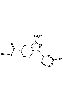 CCOC(=O)c1nn(-c2cccc(Br)c2)c2c1CN(C(=O)OC(C)(C)C)CC2